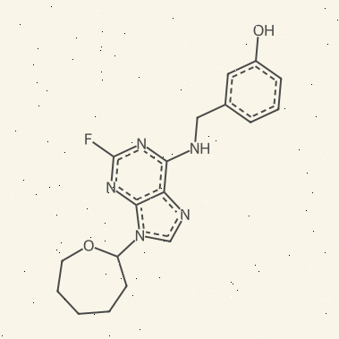 Oc1cccc(CNc2nc(F)nc3c2ncn3C2CCCCCO2)c1